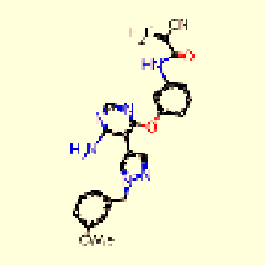 C=C(C#N)C(=O)Nc1cccc(Oc2ncnc(N)c2-c2cnn(Cc3cccc(OC)c3)c2)c1